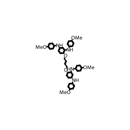 COc1ccc(Nc2ccc(OCC=CCOc3ccc(Nc4ccc(OC)cc4)cc3Nc3ccc(OC)cc3)c(Nc3ccc(OC)cc3)c2)cc1